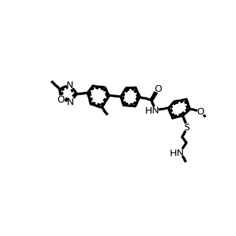 CNCCSc1cc(NC(=O)c2ccc(-c3ccc(-c4noc(C)n4)cc3C)cc2)ccc1OC